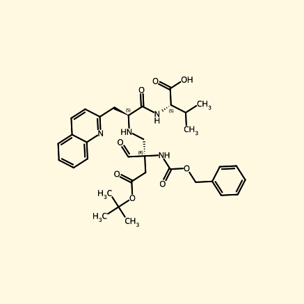 CC(C)[C@H](NC(=O)[C@H](Cc1ccc2ccccc2n1)NC[C@@](C=O)(CC(=O)OC(C)(C)C)NC(=O)OCc1ccccc1)C(=O)O